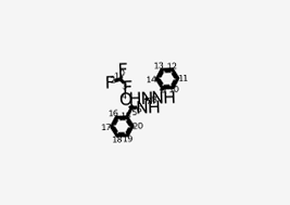 FC(F)F.O=C(NNNc1ccccc1)c1ccccc1